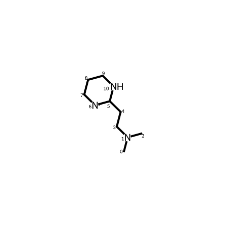 CN(C)CCC1[N]CCCN1